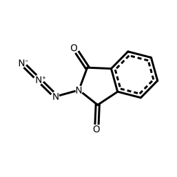 [N-]=[N+]=NN1C(=O)c2ccccc2C1=O